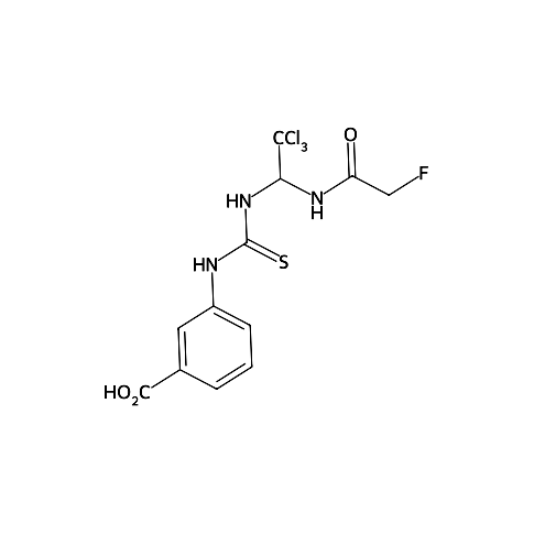 O=C(CF)NC(NC(=S)Nc1cccc(C(=O)O)c1)C(Cl)(Cl)Cl